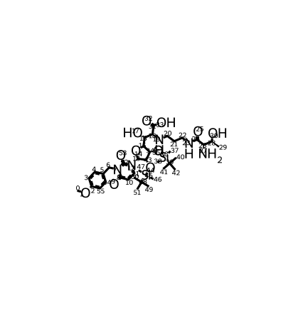 COc1ccc(Cn2c(=O)ccn([C@@H]3OC([C@@H](O)[C@H](NCCCNC(=O)[C@@H](N)[C@H](C)O)C(=O)O)[C@@H](O[Si](C)(C)C(C)(C)C)[C@H]3O[Si](C)(C)C(C)(C)C)c2=O)cc1